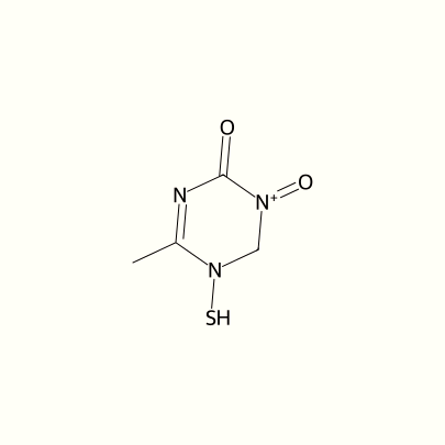 CC1=NC(=O)[N+](=O)CN1S